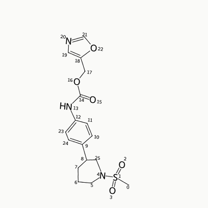 CS(=O)(=O)N1CCCC(c2ccc(NC(=O)OCc3cnco3)cc2)C1